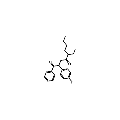 CCCCC(CC)C(=O)CC(C(=O)c1ccccc1)c1ccc(F)cc1